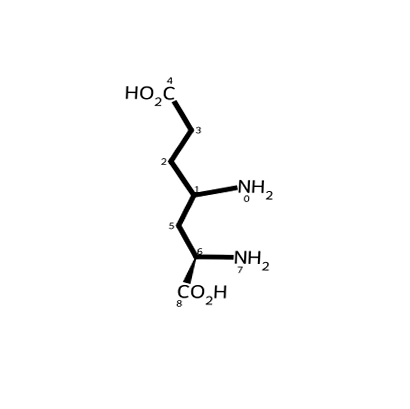 NC(CCC(=O)O)C[C@@H](N)C(=O)O